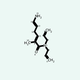 C=CCN(CC=C)C(=O)C(C)=CCC=CN